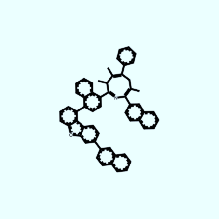 C/C1=C(c2ccc3ccccc3c2)/N=C(/c2ccc(-c3cccc4oc5cc(-c6ccc7ccccc7c6)ccc5c34)c3ccccc23)C(C)/C(C)=C(/c2ccccc2)C1